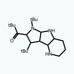 CC(C)(C)C(=O)C1C(C(C)(C)C)C2C3NCCCC3NC2N1C(C)(C)C